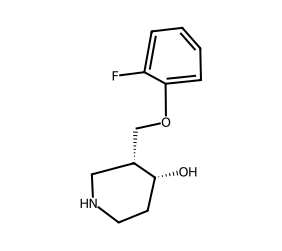 O[C@@H]1CCNC[C@@H]1COc1ccccc1F